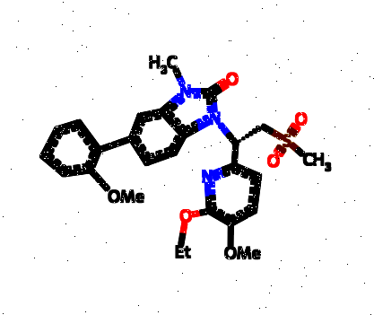 CCOc1nc([C@@H](CS(C)(=O)=O)n2c(=O)n(C)c3cc(-c4ccccc4OC)ccc32)ccc1OC